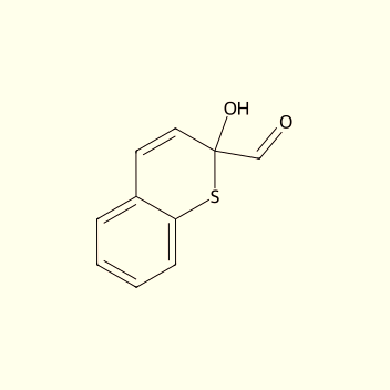 O=CC1(O)C=Cc2ccccc2S1